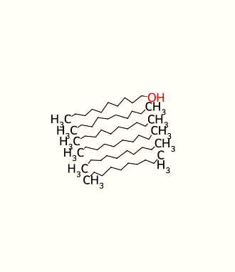 CCCCCCCCCC.CCCCCCCCCC.CCCCCCCCCC.CCCCCCCCCC.CCCCCCCCCC.CCCCCCCCCCO